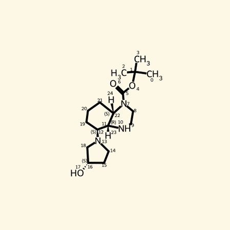 CC(C)(C)OC(=O)N1CCN[C@@H]2[C@@H](N3CC[C@H](O)C3)CCC[C@@H]21